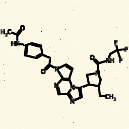 CCC1CN(C(=O)NCC(F)(F)F)CC1c1cnc2cnc3c(ccn3C(=O)Cc3ccc(NC(C)=O)cc3)n12